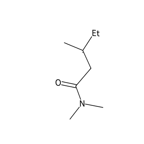 CC[C](C)CC(=O)N(C)C